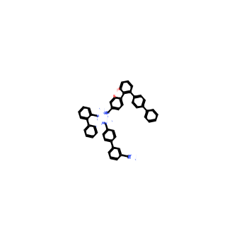 N#Cc1cccc(-c2ccc(-c3nc(-c4ccc5c(c4)oc4cccc(-c6ccc(-c7ccccc7)cc6)c45)nc(-c4ccccc4-c4ccccc4)n3)cc2)c1